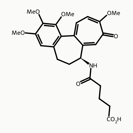 COc1cc2c(c(OC)c1OC)-c1ccc(OC)c(=O)cc1[C@@H](NC(=O)CCCC(=O)O)CC2